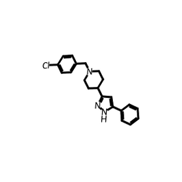 Clc1ccc(CN2CCC(c3cc(-c4ccccc4)[nH]n3)CC2)cc1